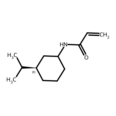 C=CC(=O)NC1CCC[C@@H](C(C)C)C1